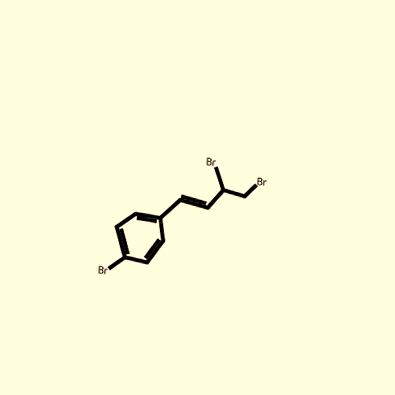 BrCC(Br)/C=C/c1ccc(Br)cc1